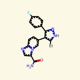 CCc1[nH]nc(-c2ccc(F)cc2)c1-c1ccc2ncc(C(N)=O)n2c1